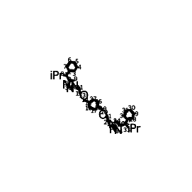 CC(C)C(c1ccccc1)c1cn(CCOCc2ccc(COCCn3cc(C(c4ccccc4)C(C)C)nn3)cc2)nn1